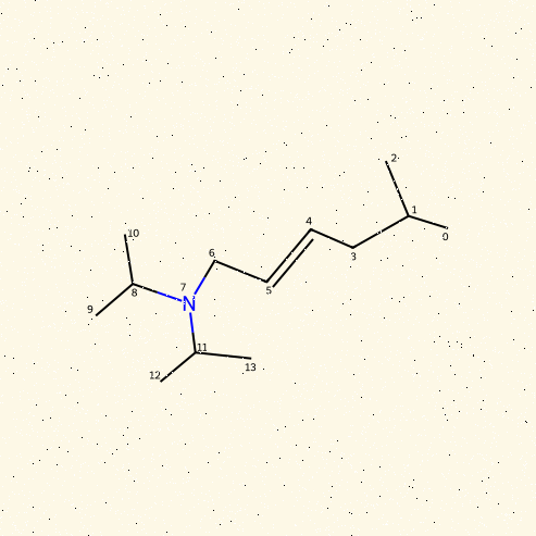 CC(C)CC=CCN(C(C)C)C(C)C